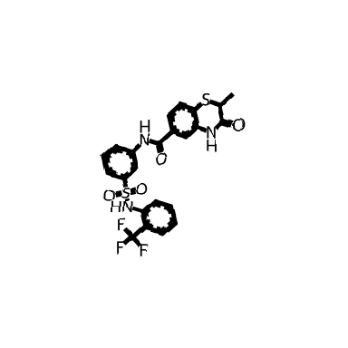 CC1Sc2ccc(C(=O)Nc3cccc(S(=O)(=O)Nc4ccccc4C(F)(F)F)c3)cc2NC1=O